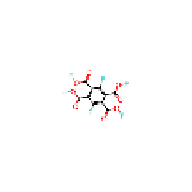 O=C(OF)c1c(F)c(C(=O)OF)c(C(=O)OF)c(F)c1C(=O)OF